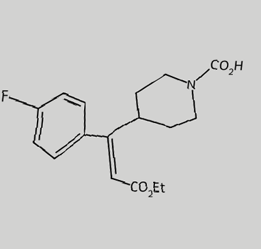 CCOC(=O)/C=C(/c1ccc(F)cc1)C1CCN(C(=O)O)CC1